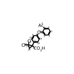 CC(=O)c1ccccc1Oc1ccc(C2(C(=O)O)CC2(Cl)Cl)cc1